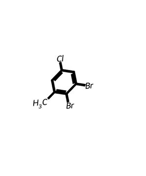 Cc1cc(Cl)cc(Br)c1Br